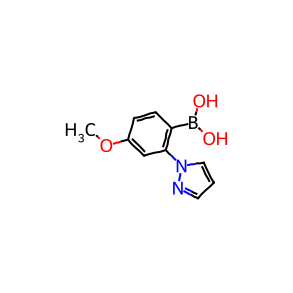 COc1ccc(B(O)O)c(-n2cccn2)c1